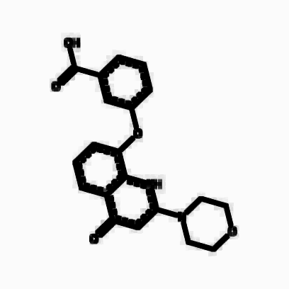 O=C(O)c1cccc(Oc2cccc3c(=O)cc(N4CCOCC4)[nH]c23)c1